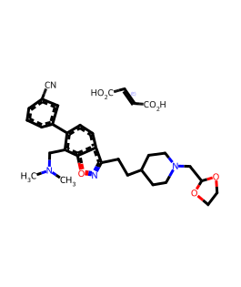 CN(C)Cc1c(-c2cccc(C#N)c2)ccc2c(CCC3CCN(CC4OCCO4)CC3)noc12.O=C(O)/C=C/C(=O)O